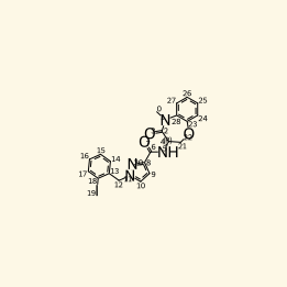 CN1C(=O)[C@H](NC(=O)c2ccn(Cc3ccccc3I)n2)COc2ccccc21